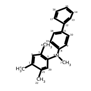 Cc1cc(C)c(N(C)c2ccc(-c3ccccc3)cc2)cc1C